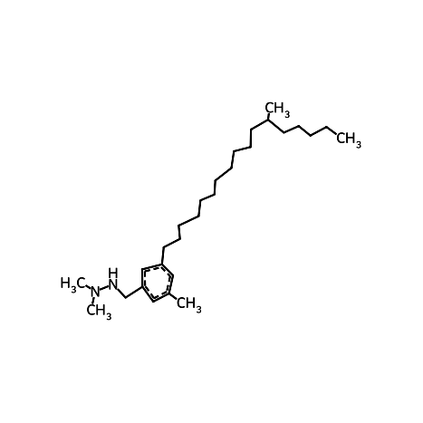 CCCCCC(C)CCCCCCCCCCCc1cc(C)cc(CNN(C)C)c1